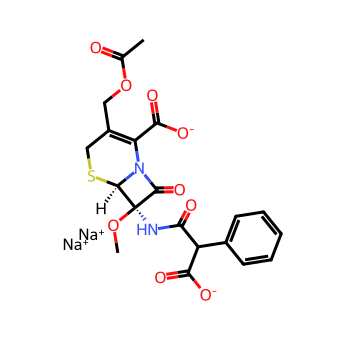 CO[C@]1(NC(=O)C(C(=O)[O-])c2ccccc2)C(=O)N2C(C(=O)[O-])=C(COC(C)=O)CS[C@@H]21.[Na+].[Na+]